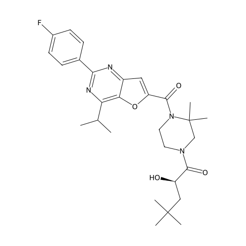 CC(C)c1nc(-c2ccc(F)cc2)nc2cc(C(=O)N3CCN(C(=O)[C@H](O)CC(C)(C)C)CC3(C)C)oc12